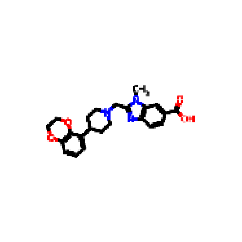 Cn1c(CN2CCC(c3cccc4c3OCCO4)CC2)nc2ccc(C(=O)O)cc21